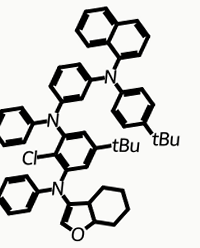 CC(C)(C)c1ccc(N(c2cccc(N(c3ccccc3)c3cc(C(C)(C)C)cc(N(C4=COC5CCCCC45)c4ccccc4)c3Cl)c2)c2cccc3ccccc23)cc1